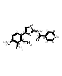 Cc1ccc(-c2csc(NC(=O)c3ccncc3)n2)c(C)c1C